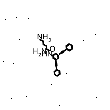 NCCCC[C@H](N)C(=O)Nc1cc(C#Cc2ccccc2)cc(C#Cc2ccccc2)c1